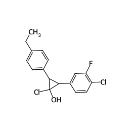 CCc1ccc(C2C(c3ccc(Cl)c(F)c3)C2(O)Cl)cc1